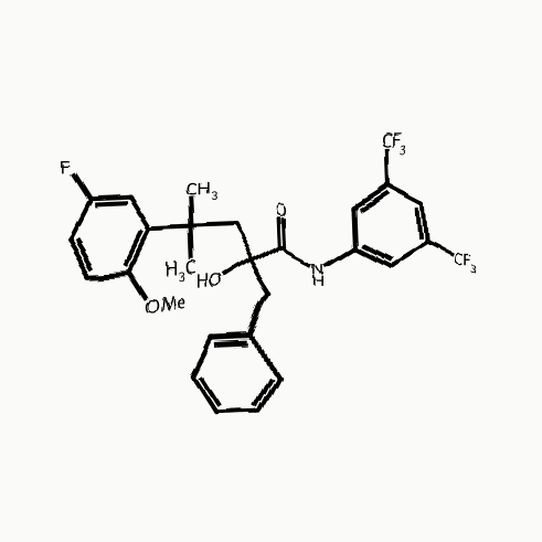 COc1ccc(F)cc1C(C)(C)CC(O)(Cc1ccccc1)C(=O)Nc1cc(C(F)(F)F)cc(C(F)(F)F)c1